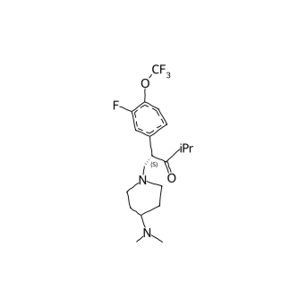 CC(C)C(=O)[C@H](CN1CCC(N(C)C)CC1)c1ccc(OC(F)(F)F)c(F)c1